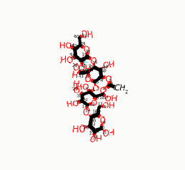 CC(=O)OC1[C@@H](OC2(O)C(CO)OC(O[C@H]3C(CO)O[C@H](O)C(O)[C@@H]3O)C(O)C2O)OC(F)(CO)[C@@H](OC2OC(CO)C(O)C(O)C2O)[C@H]1O